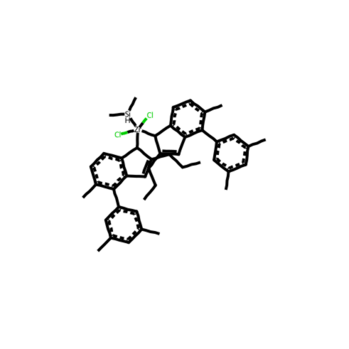 CCCC1=Cc2c(ccc(C)c2-c2cc(C)cc(C)c2)[CH]1[Zr]([Cl])([Cl])([CH]1C(CCC)=Cc2c1ccc(C)c2-c1cc(C)cc(C)c1)[SiH](C)C